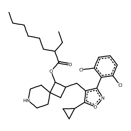 CCCCCCC(CC)C(=O)OC1C(Cc2c(-c3c(Cl)cccc3Cl)noc2C2CC2)CC12CCNCC2